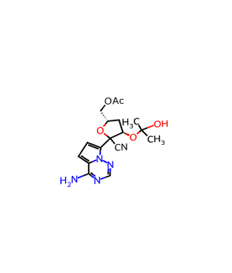 CC(=O)OC[C@@H]1C[C@@H](OC(C)(C)O)C(C#N)(c2ccc3c(N)ncnn23)O1